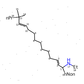 CCCCCCCCCC(/C=C/CCCCCCCC=CC(C)(C)CCC)NCC